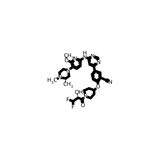 COc1nc(Nc2cc(-c3ccc(OC4CCN(C(=O)[C@@H](O)C(F)F)CC4)c(C#N)c3)ncn2)ccc1N1CCN(C)[C@@H](C)C1